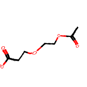 CC(=O)OCCOCCC(=O)O